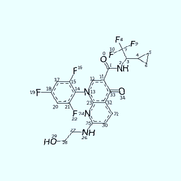 O=C(NC(C1CC1)C(F)(F)F)c1cn(-c2c(F)cc(F)cc2F)c2nc(NCCO)ccc2c1=O